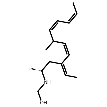 C/C=C\C=C/C(C)/C=C\C(=C/C)C[C@@H](C)NCO